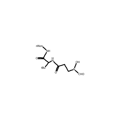 CCCCCCCCCNC(=O)C(NC(=O)CCN(O)C=O)C(C)(C)C